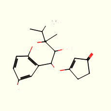 COC(C)C1(C)Oc2ccc(Br)cc2C(OC2=CC(=O)CC2)C1O